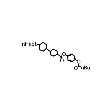 CCCCCCCC1CCC(C2CCC(C(=O)Oc3ccc(OC(=O)CCCC)cc3)CC2)CC1